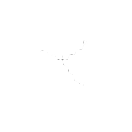 CC(CCCO[SiH3])(CCCOCC1CO1)CCCOCC1CO1